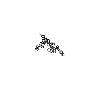 CCN(CC)CCNC(=O)c1c(C)[nH]c(/C=C2\C(=O)N(Cc3ccc(NC(=O)C(CCC(=O)O)NC(=O)CCC(=O)NCc4ccc(OC)cc4)cc3)c3ccc(F)cc32)c1C